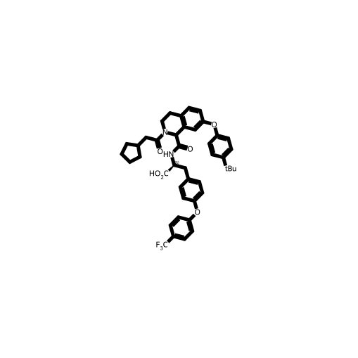 CC(C)(C)c1ccc(Oc2ccc3c(c2)C(C(=O)N[C@@H](Cc2ccc(Oc4ccc(C(F)(F)F)cc4)cc2)C(=O)O)N(C(=O)CC2CCCC2)CC3)cc1